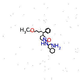 CCOCCCC[C@@H](c1ccccc1)[C@@H]1CCCN(C(=O)NC(CN)CC2CCCCC2)C1